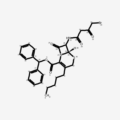 CCCCCC1=C(C(=O)OC(c2ccccc2)c2ccccc2)N2C(=O)C(NC(=O)CC(=O)CBr)[C@@H]2SC1